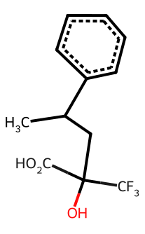 CC(CC(O)(C(=O)O)C(F)(F)F)c1ccccc1